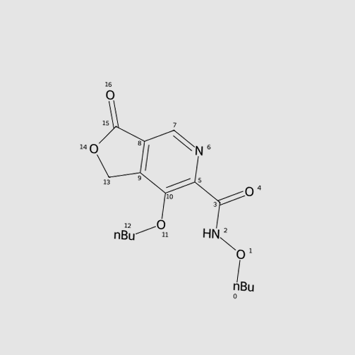 CCCCONC(=O)c1ncc2c(c1OCCCC)COC2=O